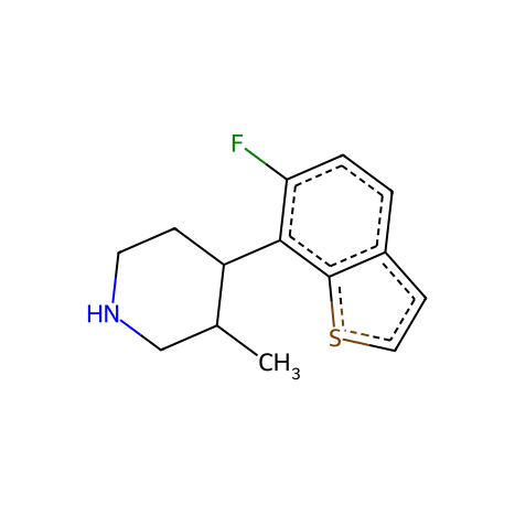 CC1CNCCC1c1c(F)ccc2ccsc12